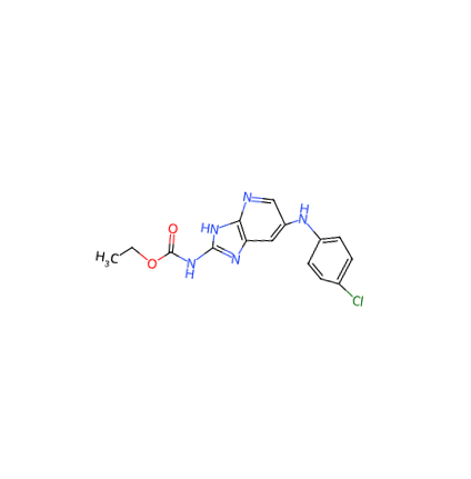 CCOC(=O)Nc1nc2cc(Nc3ccc(Cl)cc3)cnc2[nH]1